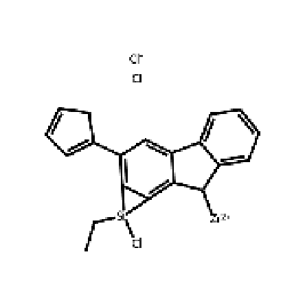 CC[Si]1(Cl)c2c(C3=CC=CC3)cc3c(c21)[CH]([Zr+2])c1ccccc1-3.[Cl-].[Cl-]